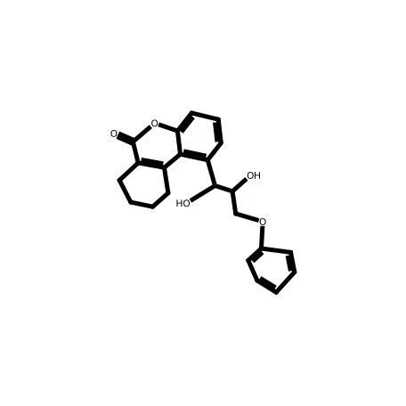 O=c1oc2cccc(C(O)C(O)COc3ccccc3)c2c2c1CCCC2